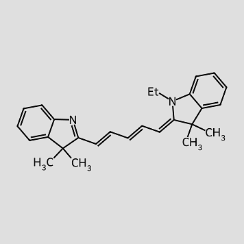 CCN1C(=CC=CC=CC2=Nc3ccccc3C2(C)C)C(C)(C)c2ccccc21